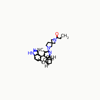 C=CC(=O)N1CC2(CCN(c3nc4c(c(-c5c(C)ccc6[nH]ncc56)c3C#N)C[C@H]3C[C@@H]4C3(C)C)C2)C1